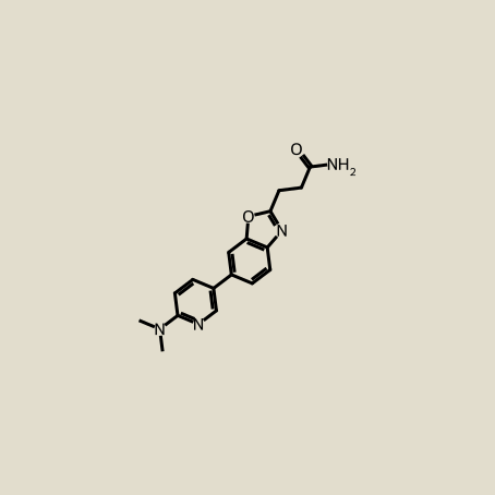 CN(C)c1ccc(-c2ccc3nc(CCC(N)=O)oc3c2)cn1